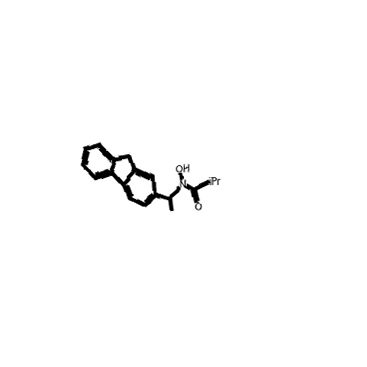 CC(C)C(=O)N(O)C(C)c1ccc2c(c1)Cc1ccccc1-2